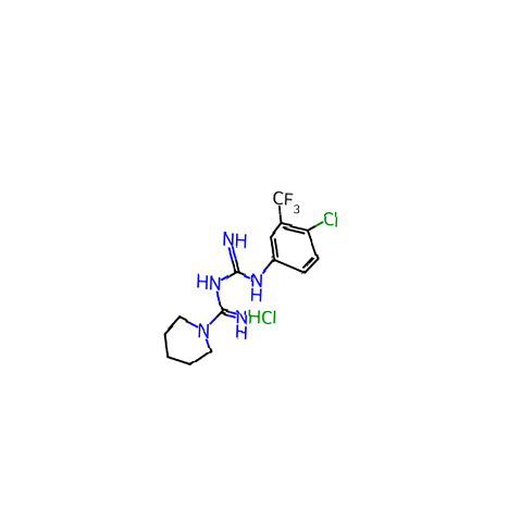 Cl.N=C(NC(=N)N1CCCCC1)Nc1ccc(Cl)c(C(F)(F)F)c1